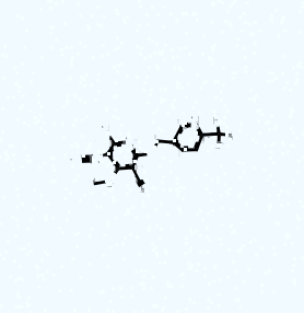 [C-]#[N+]c1c(N)nc(SCc2ccc(C(F)(F)F)nc2)c(C#N)c1SC